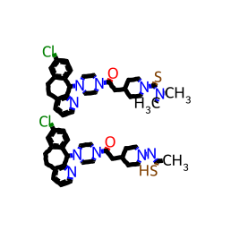 CC(S)=NN1CCC(CC(=O)N2CCN(C3c4ccc(Cl)cc4CCc4cccnc43)CC2)CC1.CN(C)C(=S)N1CCC(CC(=O)N2CCN(C3c4ccc(Cl)cc4CCc4cccnc43)CC2)CC1